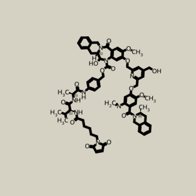 C=Nc1cc(OCc2cc(CO)cc(COc3cc4c(cc3OC)C(=O)N3Cc5ccccc5C[C@H]3C(O)N4C(=O)OCc3ccc(NC(=O)[C@H](C)NC(=O)[C@@H](NC(=O)CCCCCN4C(=O)C=CC4=O)C(C)C)cc3)n2)c(OC)cc1C(=O)N1Cc2ccccc2C[C@H]1C